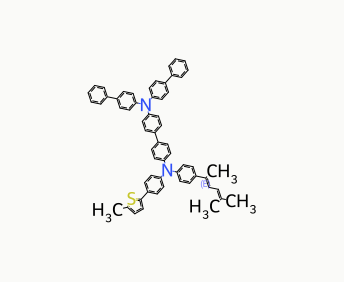 CC(C)=C/C=C(\C)c1ccc(N(c2ccc(-c3ccc(N(c4ccc(-c5ccccc5)cc4)c4ccc(-c5ccccc5)cc4)cc3)cc2)c2ccc(-c3ccc(C)s3)cc2)cc1